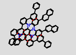 c1ccc(-c2cccc(-c3cccc(-c4cccc(-c5ccccc5)c4)c3N3c4ccc(-c5ccc6ccccc6c5)cc4N4c5cc(-c6ccc7ccccc7c6)ccc5N(c5c(-c6cccc(-c7ccccc7)c6)cccc5-c5cccc(-c6ccccc6)c5)c5cc(-n6c7ccccc7c7ccccc76)cc3c54)c2)cc1